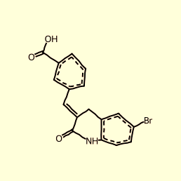 O=C1Nc2ccc(Br)cc2CC1=Cc1cccc(C(=O)O)c1